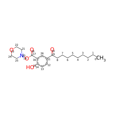 CCCCCCCCCC(=O)c1ccc(O)c(C(=O)ON2CCOCC2)c1